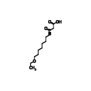 CCOCCCCCCCC[PH](=O)CC(=O)O